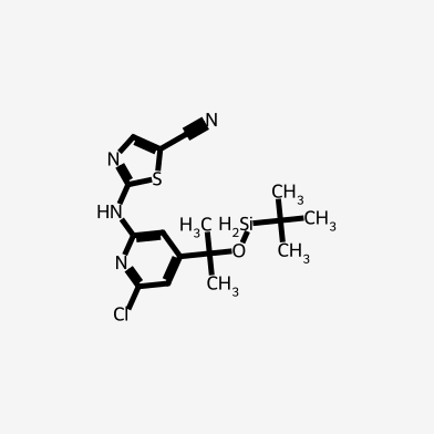 CC(C)(C)[SiH2]OC(C)(C)c1cc(Cl)nc(Nc2ncc(C#N)s2)c1